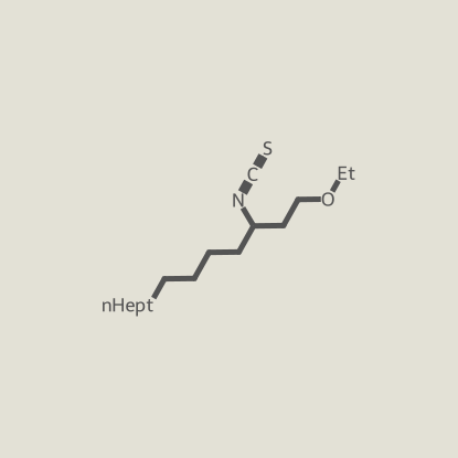 CCCCCCCCCCCC(CCOCC)N=C=S